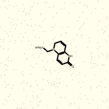 CCCCCCCCN1CC=Cc2[nH]c(=O)ccc21